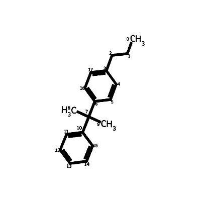 CCCc1ccc(C(C)(C)c2ccccc2)cc1